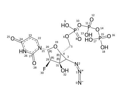 [N-]=[N+]=NC1[C@]2(COP(=O)(O)OP(=O)(O)OP(=O)(O)O)O[C@@H](n3ccc(=O)[nH]c3=O)[C@H](F)[C@@]12O